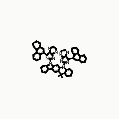 CC1(C)c2ccccc2N(c2nc(-c3cc4ccccc4c4ccccc34)c3nccnc3n2)c2cc3c(cc21)c1ccccc1n3-c1nc(-c2cc3ccccc3c3ccccc23)c2nccnc2n1